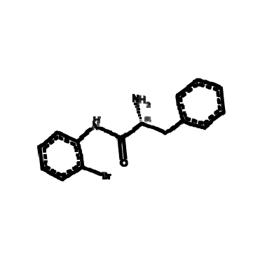 N[C@H](Cc1ccccc1)C(=O)Nc1ccccc1Br